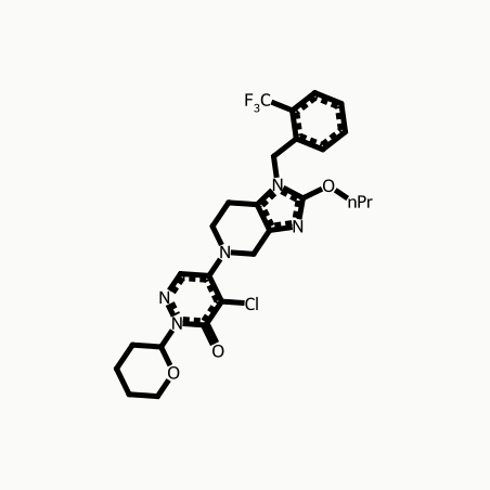 CCCOc1nc2c(n1Cc1ccccc1C(F)(F)F)CCN(c1cnn(C3CCCCO3)c(=O)c1Cl)C2